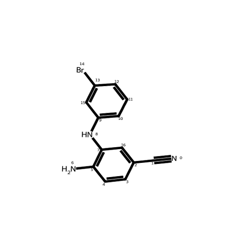 N#Cc1ccc(N)c(Nc2cccc(Br)c2)c1